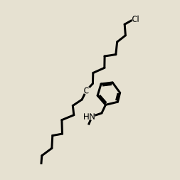 CCCCCCCCCCCCCCCCCCCl.CNCc1ccccc1